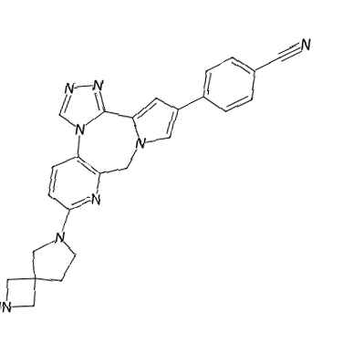 N#Cc1ccc(-c2cc3n(c2)Cc2nc(N4CCC5(CNC5)C4)ccc2-n2cnnc2-3)cc1